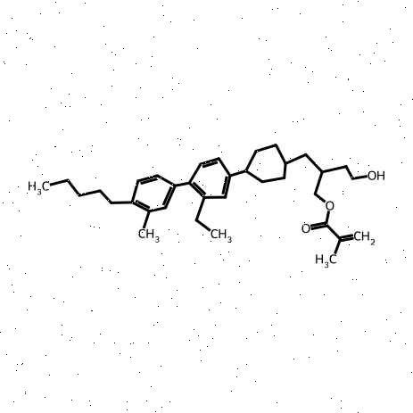 C=C(C)C(=O)OCC(CCO)CC1CCC(c2ccc(-c3ccc(CCCCC)c(C)c3)c(CC)c2)CC1